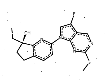 CC[C@@]1(O)CCc2ccc(-n3cc(F)c4cnc(SC)nc43)nc21